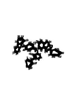 c1ccc(-c2cccc(N(c3ccc(-n4c5ccccc5c5ccccc54)cc3)c3ccc4ccc5oc(-c6ccccc6)nc5c4c3)c2)cc1